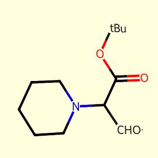 CC(C)(C)OC(=O)C([C]=O)N1CCCCC1